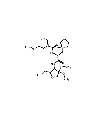 CCC1OCC(OC)(OC)C1NC(=O)C(CC1(C)CCCC1)NC(=O)N(CC)CCOC